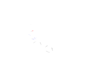 CC(C)Oc1ccc(C=Cc2csc(NC(=O)OC(C)(C)C)n2)cc1